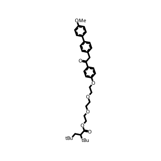 COc1ccc(-c2ccc(CC(=O)c3ccc(OCCOCCOCCOC(=O)C(CC(C)(C)C)C(C)(C)C)cc3)cc2)cc1